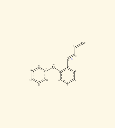 O=[C]/C=C/c1ccccc1Oc1ccccc1